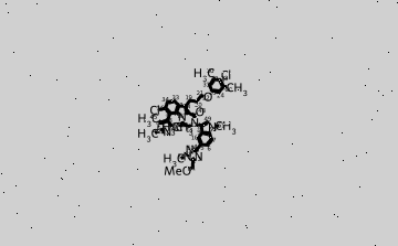 COCc1nc(-c2ccc3c(c2)c(N2CC(C)n4c(c(CCCOc5cc(C)c(Cl)c(C)c5)c5ccc(Cl)c(-c6c(C)nn(C)c6C)c54)C2=O)cn3C)nn1C